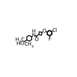 CC(C)(O)C1CCC(NC(=O)C2CC(Oc3cc(F)cc(Cl)c3)C2)CC1